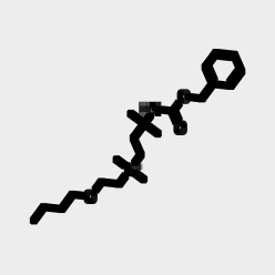 CCCCOCC[N+](C)(C)CCC(C)(C)NC(=O)OCc1ccccc1